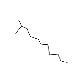 CCCCCCCCC[C](C)C